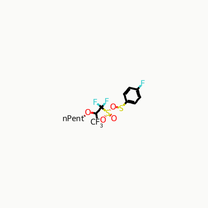 CCCCCOC(C(F)(F)F)C(F)(F)S(=O)(=O)OSc1ccc(F)cc1